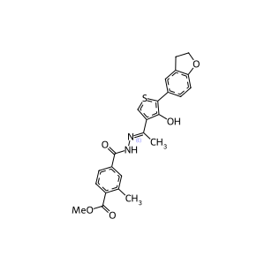 COC(=O)c1ccc(C(=O)N/N=C(\C)c2csc(-c3ccc4c(c3)CCO4)c2O)cc1C